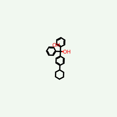 Oc1ccccc1C(O)(c1ccccc1)c1ccc(C2CCCCC2)cc1